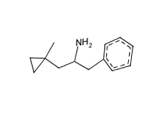 CC1(CC(N)Cc2ccccc2)CC1